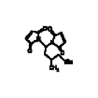 CC(CC(N1C(=O)C=CC1=O)N1C(=O)C=CC1=O)CC(C)(C)C